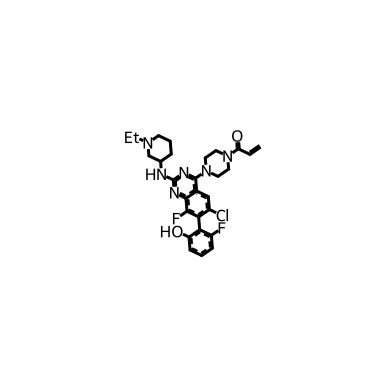 C=CC(=O)N1CCN(c2nc(NC3CCCN(CC)C3)nc3c(F)c(-c4c(O)cccc4F)c(Cl)cc23)CC1